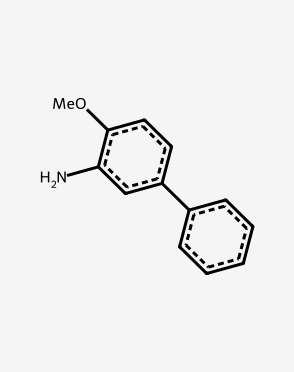 COc1ccc(-c2ccccc2)cc1N